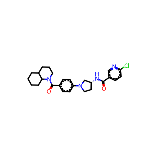 O=C(N[C@@H]1CCN(c2ccc(C(=O)N3CCCC4CCCCC43)cc2)C1)c1ccc(Cl)nc1